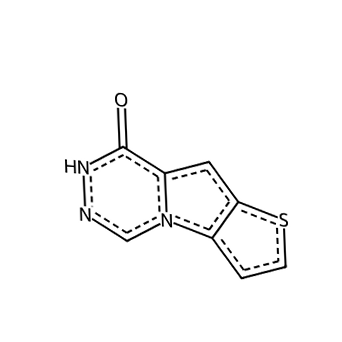 O=c1[nH]ncn2c1cc1sccc12